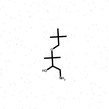 CC(C)(C)COC(C)(C)C(O)CN